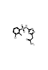 Cc1c(Cl)cccc1S(=O)(=O)Nc1nnc(CC(N)=O)s1